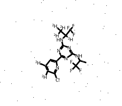 [2H]c1cc(-c2nc(NC(C)C(F)(F)F)nc(NC([2H])(C([2H])([2H])[2H])C(F)(F)F)n2)nc(Cl)c1[2H]